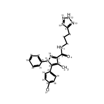 Cc1c(C(=O)NCCCc2nn[nH]n2)nn(-c2ccccc2)c1-c1ccc(Cl)cc1